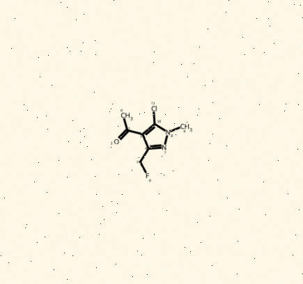 CC(=O)c1c(CF)nn(C)c1Cl